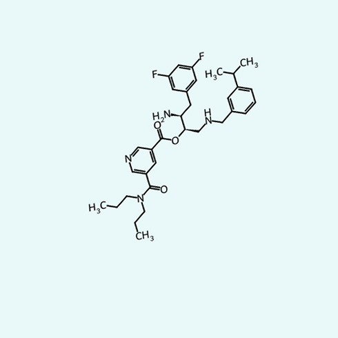 CCCN(CCC)C(=O)c1cncc(C(=O)O[C@H](CNCc2cccc(C(C)C)c2)[C@@H](N)Cc2cc(F)cc(F)c2)c1